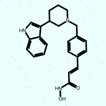 O=C(C=Cc1ccc(CN2CCCC(c3c[nH]c4ccccc34)C2)cc1)NO